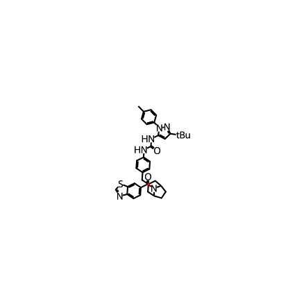 Cc1ccc(-n2nc(C(C)(C)C)cc2NC(=O)Nc2ccc(CC3CC4CCC(C3)N4C(=O)c3ccc4ncsc4c3)cc2)cc1